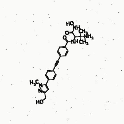 Cn1nc(CO)cc1-c1ccc(C#Cc2ccc(C(=O)NC(C(=O)NO)C(C)(C)N)cc2)cc1